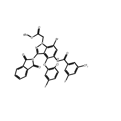 CC(C)(C)OC(=O)Cn1nc(N2C(=O)c3ccccc3C2=O)c2c(Oc3cc(F)ccc3Cl)c(NC(=O)c3cc(F)cc(C(F)(F)F)c3)cc(Br)c21